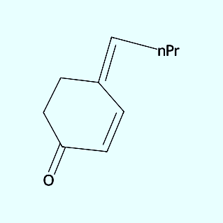 CCCC=C1C=CC(=O)CC1